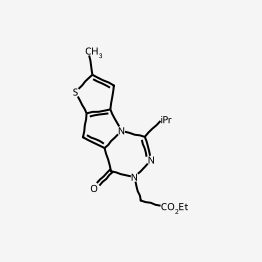 CCOC(=O)Cn1nc(C(C)C)n2c(cc3sc(C)cc32)c1=O